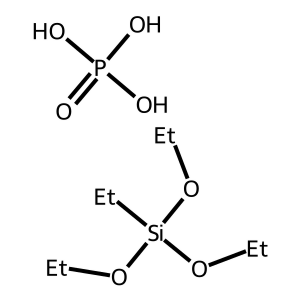 CCO[Si](CC)(OCC)OCC.O=P(O)(O)O